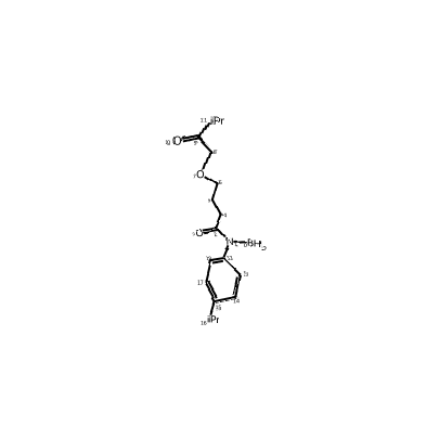 BN(C(=O)CCCOCC(=O)C(C)C)c1ccc(C(C)C)cc1